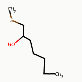 CCCCCC(O)CSC